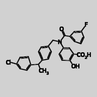 CC(c1ccc(Cl)cc1)c1ccc(CN(C(=O)c2cccc(F)c2)c2ccc(O)c(C(=O)O)c2)cc1